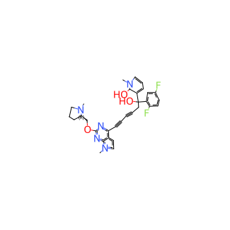 CN1C=CC=C(C(O)(CC#CC#Cc2nc(OC[C@H]3CCCN3C)nc3c2ccn3C)c2cc(F)ccc2F)C1O